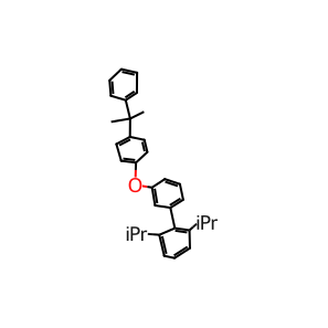 CC(C)c1cccc(C(C)C)c1-c1cccc(Oc2ccc(C(C)(C)c3ccccc3)cc2)c1